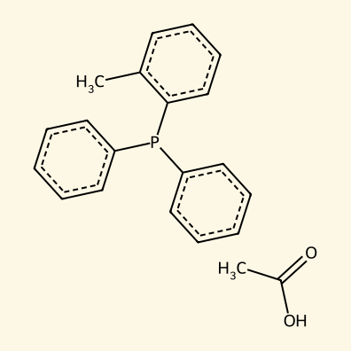 CC(=O)O.Cc1ccccc1P(c1ccccc1)c1ccccc1